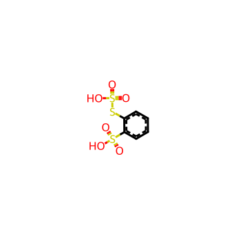 O=S(=O)(O)Sc1ccccc1S(=O)(=O)O